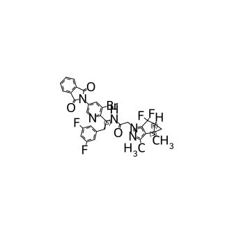 Cc1nn(CC(=O)N[C@@H](Cc2cc(F)cc(F)c2)c2ncc(N3C(=O)c4ccccc4C3=O)cc2Br)c2c1[C@@]1(C)C[C@H]1C2(F)F